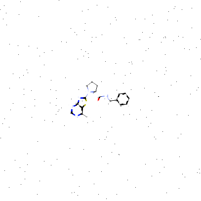 CC(C)c1ncnc2nc(N3CCC[C@@H]3C(=O)NCc3ccccc3)sc12